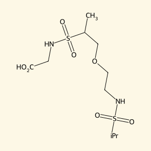 CC(C)S(=O)(=O)NCCOCC(C)S(=O)(=O)NCC(=O)O